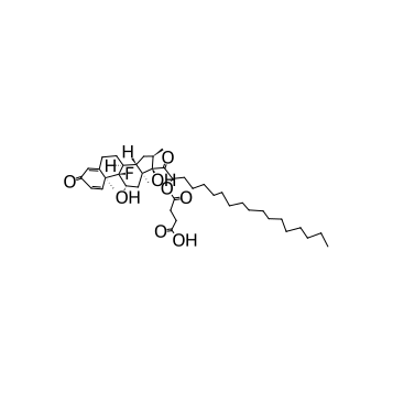 CCCCCCCCCCCCCCCCC(OC(=O)CCC(=O)O)C(=O)[C@@]1(O)[C@H](C)C[C@H]2[C@@H]3CCC4=CC(=O)C=C[C@]4(C)[C@@]3(F)[C@@H](O)C[C@@]21C